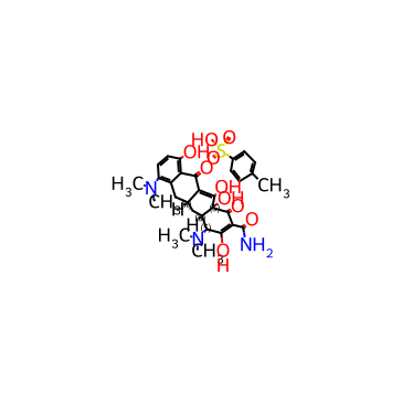 CN(C)c1ccc(O)c2c1C[C@H]1C[C@H]3[C@H](N(C)C)C(O)=C(C(N)=O)C(=O)[C@@]3(O)C(O)=C1C2=O.Cc1ccc(S(=O)(=O)O)cc1